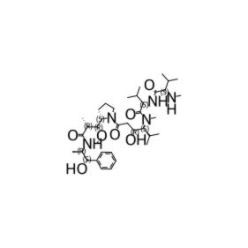 CN[C@H](C(=O)N[C@H](C(=O)N(C)[C@@H](C(C)C)[C@H](O)CC(=O)N1CCC[C@H]1[C@H](OC)[C@@H](C)C(=O)N[C@H](C)[C@@H](O)c1ccccc1)C(C)C)C(C)C